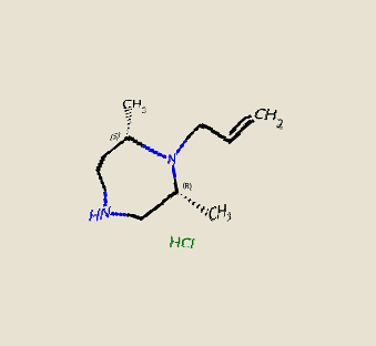 C=CCN1[C@H](C)CNC[C@@H]1C.Cl